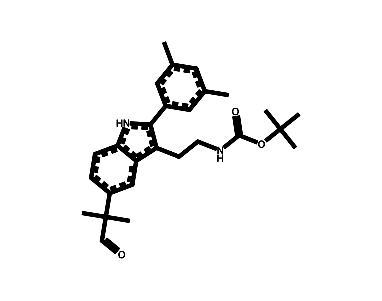 Cc1cc(C)cc(-c2[nH]c3ccc(C(C)(C)C=O)cc3c2CCNC(=O)OC(C)(C)C)c1